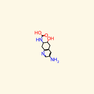 Nc1cnc2c(c1)CC(O)C(NC(=O)O)C2